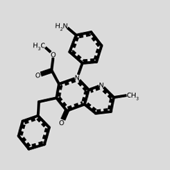 COC(=O)c1c(Cc2ccccc2)c(=O)c2ccc(C)nc2n1-c1cccc(N)c1